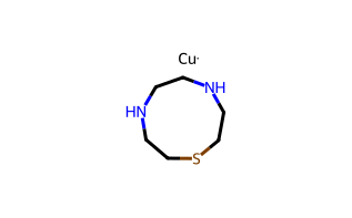 C1CNCCSCCN1.[Cu]